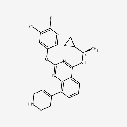 C[C@@H](Nc1nc(Oc2ccc(F)c(Cl)c2)nc2c(C3=CCNCC3)cccc12)C1CC1